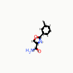 Cc1cccc(-c2nc(C(N)=O)co2)c1